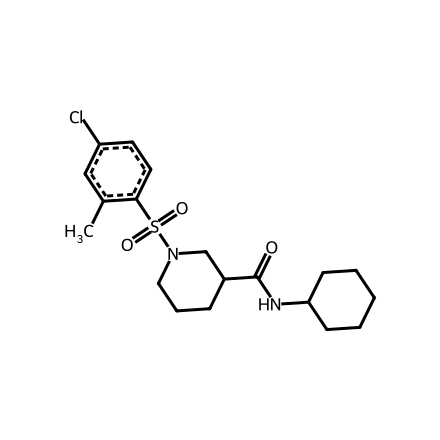 Cc1cc(Cl)ccc1S(=O)(=O)N1CCCC(C(=O)NC2CCCCC2)C1